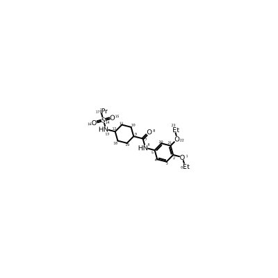 CCOc1ccc(NC(=O)C2CCC(NS(=O)(=O)C(C)C)CC2)cc1OCC